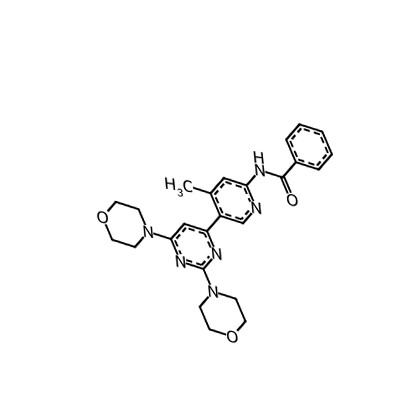 Cc1cc(NC(=O)c2ccccc2)ncc1-c1cc(N2CCOCC2)nc(N2CCOCC2)n1